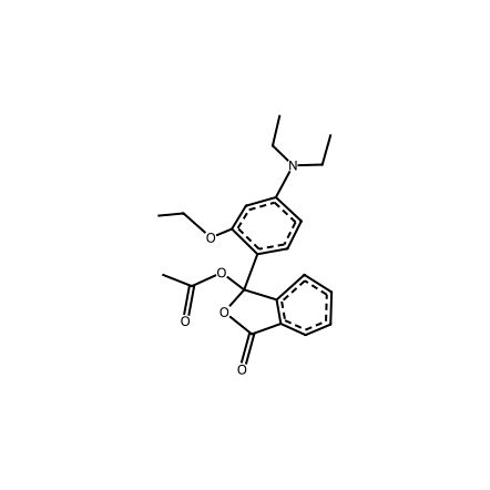 CCOc1cc(N(CC)CC)ccc1C1(OC(C)=O)OC(=O)c2ccccc21